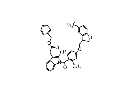 Cc1ccc2c(c1)[C@H](COc1ccc(C(=O)n3c(C)c(CC(=O)OCc4ccccc4)c4ccccc43)c(C)c1)CO2